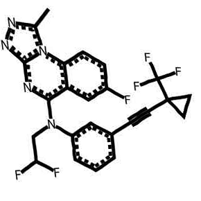 Cc1nnc2nc(N(CC(F)F)c3cccc(C#CC4(C(F)(F)F)CC4)c3)c3cc(F)ccc3n12